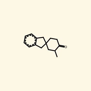 CC1CC2(CCC1=O)Cc1ccccc1C2